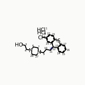 Cl.Cl.OCCN1CCN(CC/C=C2/c3ccccc3Sc3ccc(Cl)cc32)CC1